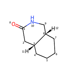 O=C1C[C@H]2CCCC[C@H]2CN1